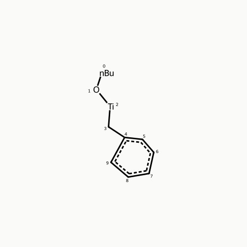 CCCC[O][Ti][CH2]c1ccccc1